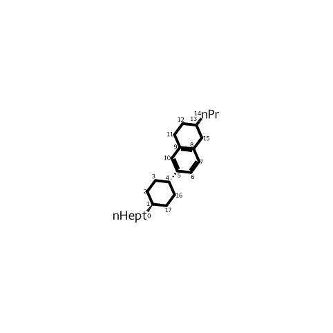 CCCCCCC[C@H]1CC[C@H](c2ccc3c(c2)CCC(CCC)C3)CC1